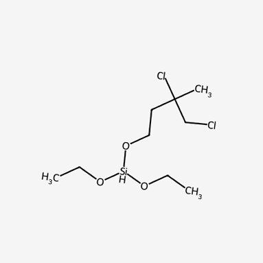 CCO[SiH](OCC)OCCC(C)(Cl)CCl